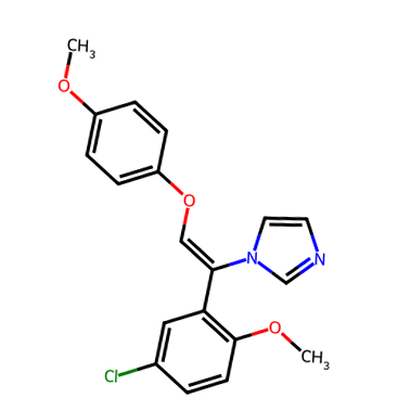 COc1ccc(OC=C(c2cc(Cl)ccc2OC)n2ccnc2)cc1